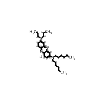 CCCCCCN(CCCCCC)c1ccc2nc3ccc(N(CCC)CCC)cc3[s+]c2c1.[I-]